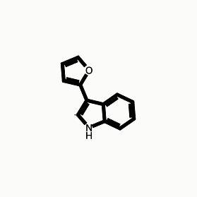 [c]1[nH]c2ccccc2c1-c1ccco1